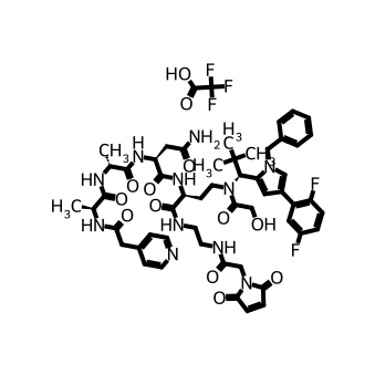 C[C@H](NC(=O)Cc1ccncc1)C(=O)N[C@H](C)C(=O)N[C@@H](CC(N)=O)C(=O)N[C@@H](CCN(C(=O)CO)[C@@H](c1cc(-c2cc(F)ccc2F)cn1Cc1ccccc1)C(C)(C)C)C(=O)NCCNC(=O)CN1C(=O)C=CC1=O.O=C(O)C(F)(F)F